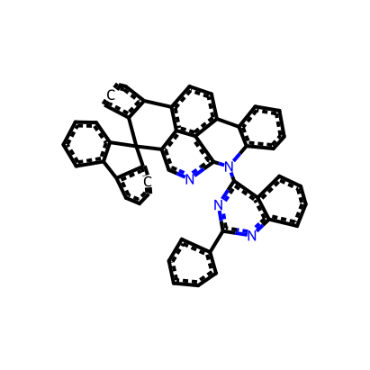 c1ccc(-c2nc(N3c4ccccc4-c4ccc5c6c(cnc3c46)C3(c4ccccc4-c4ccccc43)c3ccccc3-5)c3ccccc3n2)cc1